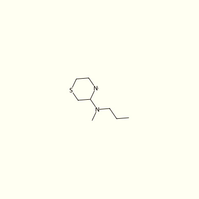 CCCN(C)C1CSCC[N]1